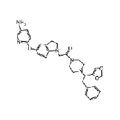 Nc1ccc(Oc2ccc3c(c2)CCN3CC(=O)N2CCN(C(Cc3ccccc3)C3=COCO3)CC2)nc1